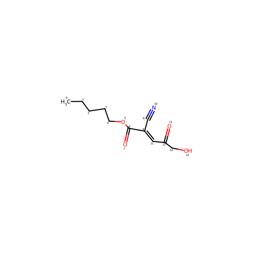 CCCCCOC(=O)C(C#N)=CC(=O)CO